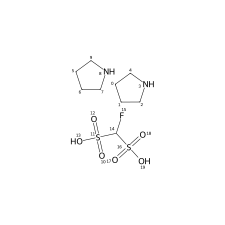 C1CCNC1.C1CCNC1.O=S(=O)(O)C(F)S(=O)(=O)O